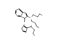 CCCCP(CCCC)C1=Cc2ccccc2[CH]1[Ti+2][C]1=C(C(C)CCC)C=CC1.[Cl-].[Cl-]